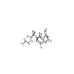 CCC1CCC(C(=O)C(=O)Nc2c(SC)cc(C)nc2SC)CC1